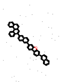 c1ccc2cc(-c3ccc4c(c3)oc3cc(-c5ccc6cc(-c7cc8ccc9ccccc9c8c8ccccc78)ccc6c5)ccc34)ccc2c1